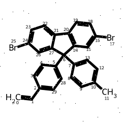 C=Cc1ccc(C2(c3ccc(C)cc3)c3cc(Br)ccc3-c3ccc(Br)cc32)cc1